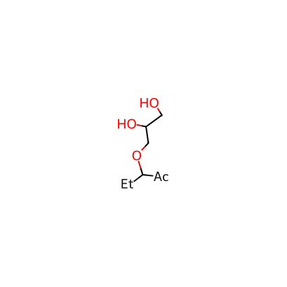 CCC(OCC(O)CO)C(C)=O